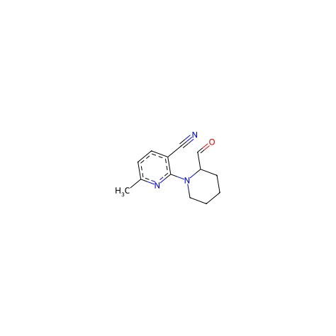 Cc1ccc(C#N)c(N2CCCCC2C=O)n1